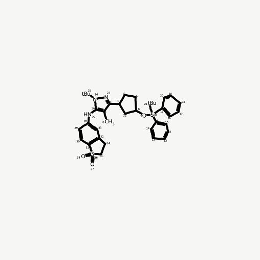 Cc1c(C2CCC(O[Si](c3ccccc3)(c3ccccc3)C(C)(C)C)C2)nn(C(C)(C)C)c1Nc1ccc2c(c1)CCS2(=O)=O